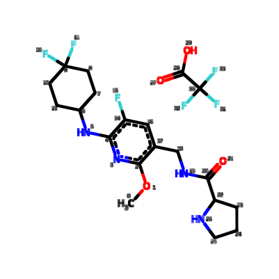 COc1nc(NC2CCC(F)(F)CC2)c(F)cc1CNC(=O)C1CCCN1.O=C(O)C(F)(F)F